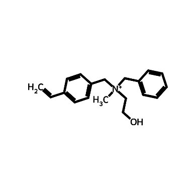 C=Cc1ccc(C[N+](C)(CCO)Cc2ccccc2)cc1